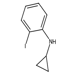 Ic1ccccc1NC1CC1